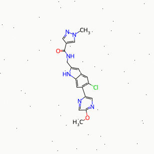 COc1cnc(-c2cc3[nH]c(CNC(=O)c4cnn(C)c4)cc3cc2Cl)cn1